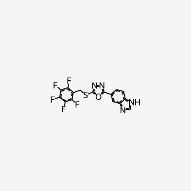 Fc1c(F)c(F)c(CSc2nnc(-c3ccc4[nH]cnc4c3)o2)c(F)c1F